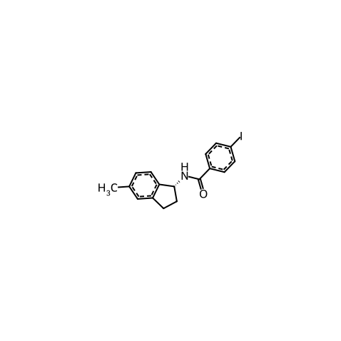 Cc1ccc2c(c1)CC[C@H]2NC(=O)c1ccc(I)cc1